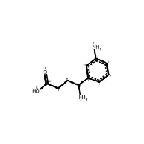 Nc1cccc(C(N)CCC(=O)O)c1